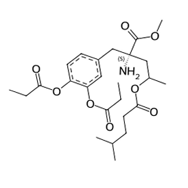 CCC(=O)Oc1ccc(C[C@](N)(CC(C)OC(=O)CCC(C)C)C(=O)OC)cc1OC(=O)CC